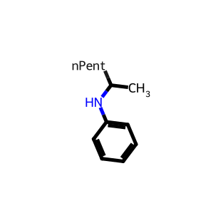 CCCCC[C](C)Nc1ccccc1